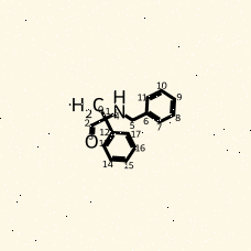 [CH2]C(C=O)(NCc1ccccc1)c1ccccc1